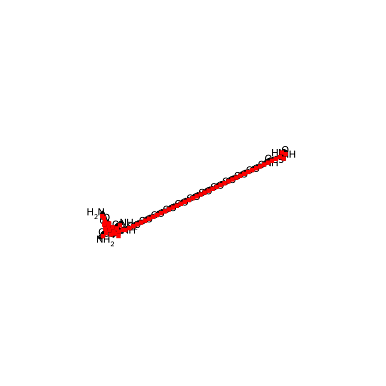 C[C@H](CCC(=O)NCCOCCOCCOCCOCCOCCOCCOCCOCCOCCOCCOCCOCCOCCOCCOCCOCCOCCOCCOCCOCCOCCOCCOCCNC(=O)CCCC[C@H]1SCC2NC(=O)NC21)C1CCC2C3C(C[C@H](OC(=O)CCN)[C@@]21C)[C@@]1(C)CC[C@@H](OC(=O)CCN)CC1C[C@H]3OC(=O)CCN